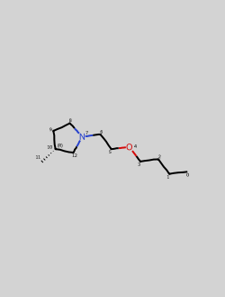 CCCCOCCN1CC[C@@H](C)C1